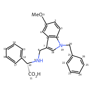 COc1ccc2c(c1)c(CN[C@H](C(=O)O)c1ccccc1)cn2Cc1ccccc1